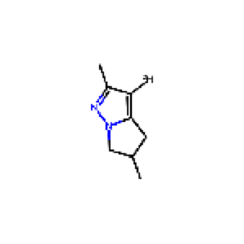 [2H]c1c(C)nn2c1CC(C)C2